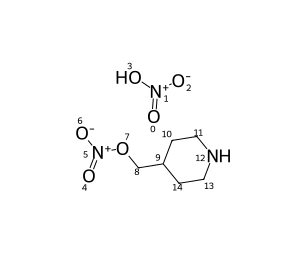 O=[N+]([O-])O.O=[N+]([O-])OCC1CCNCC1